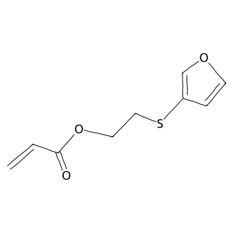 C=CC(=O)OCCSc1ccoc1